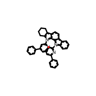 c1ccc(-c2ccnc(-n3c4c(c5ccc6c7ccccc7n(-c7cccc(-c8ccccc8)n7)c6c53)CCCC4)c2)cc1